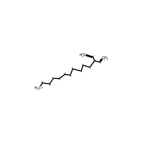 C=CC(C=C)CCCCCCCCCCC